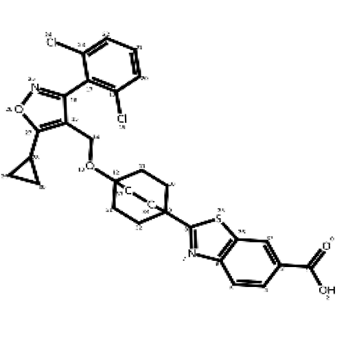 O=C(O)c1ccc2nc(C34CCC(OCc5c(-c6c(Cl)cccc6Cl)noc5C5CC5)(CC3)CC4)sc2c1